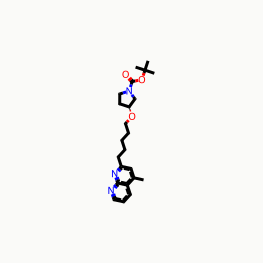 Cc1cc(CCCCCO[C@@H]2CCN(C(=O)OC(C)(C)C)C2)nc2ncccc12